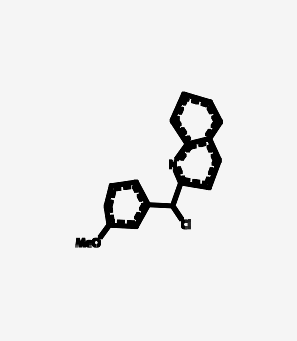 COc1cccc(C(Cl)c2ccc3ccccc3n2)c1